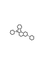 c1ccc(-c2ccc3c(ccc4c3c3ccccc3n4-c3ccccc3)c2)cc1